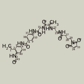 C=Cc1cc(NC(=O)c2ccc(NC(=O)CNC(=O)[C@H](C)NCCNC(=O)CCCN3C(=O)C=CC3=O)cc2)ccc1NC=O